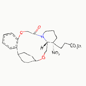 CCOC(=O)CC[C@]1([N+](=O)[O-])CCCN2C(=O)COc3ccccc3C3CCC(CC3)OC[C@H]21